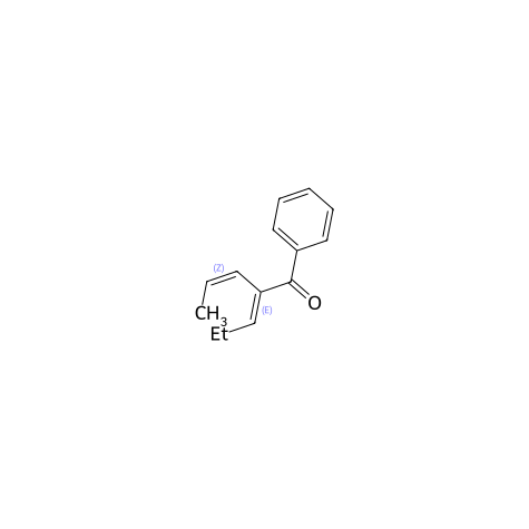 C/C=C\C(=C/CC)C(=O)c1ccccc1